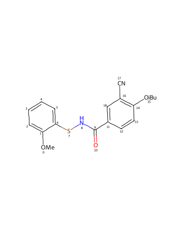 COc1ccccc1SNC(=O)c1ccc(OCC(C)C)c(C#N)c1